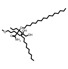 CCCCCCCCCCCCCCCCOC(CCC)(CCCCCCCCCCC)C(CCCOC)(CC(O)CO)C(N)=O